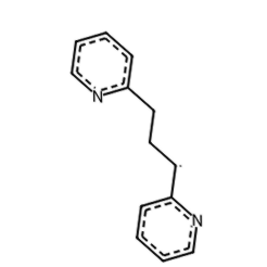 [CH](CCc1ccccn1)c1ccccn1